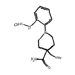 CNC1(C(N)=O)CCN(c2ccccc2NC=O)CC1